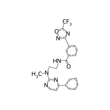 CN(CCNC(=O)c1cccc(-c2noc(C(F)(F)F)n2)c1)c1nccc(-c2ccccc2)n1